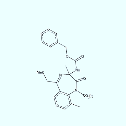 CCOC(=O)N1C(=O)C(C)(NC(=O)OCc2ccccc2)N=C(CSC)c2cccc(C)c21